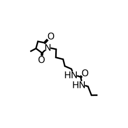 CCCNC(=O)NCCCCCN1C(=O)CC(C)C1=O